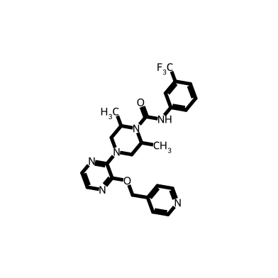 CC1CN(c2nccnc2OCc2ccncc2)CC(C)N1C(=O)Nc1cccc(C(F)(F)F)c1